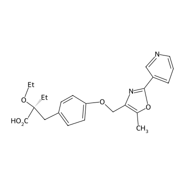 CCO[C@@](CC)(Cc1ccc(OCc2nc(-c3cccnc3)oc2C)cc1)C(=O)O